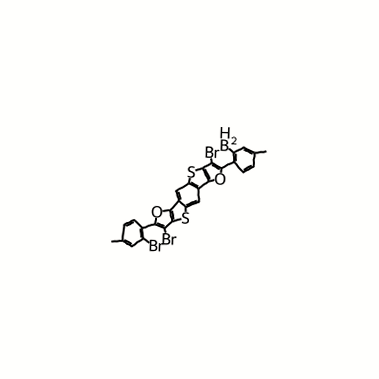 Bc1cc(C)ccc1-c1oc2c(sc3cc4c(cc32)sc2c(Br)c(-c3ccc(C)cc3Br)oc24)c1Br